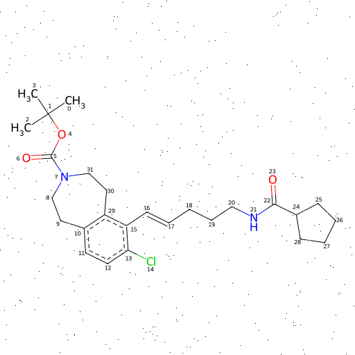 CC(C)(C)OC(=O)N1CCc2ccc(Cl)c(C=CCCCNC(=O)C3CCCC3)c2CC1